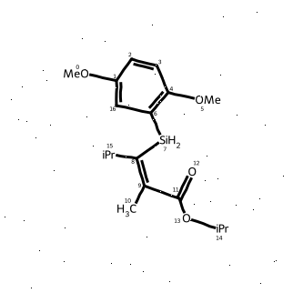 COc1ccc(OC)c([SiH2]C(=C(C)C(=O)OC(C)C)C(C)C)c1